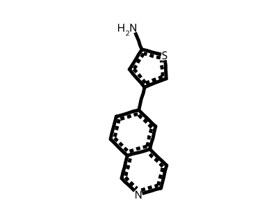 Nc1cc(-c2ccc3cnccc3c2)cs1